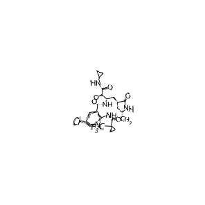 C[C@@H]1C[C@@H](CC(NC(=O)c2cc(Cl)cnc2NC(=O)C2(C(F)(F)F)CC2)C(=O)C(=O)NC2CC2)C(=O)N1